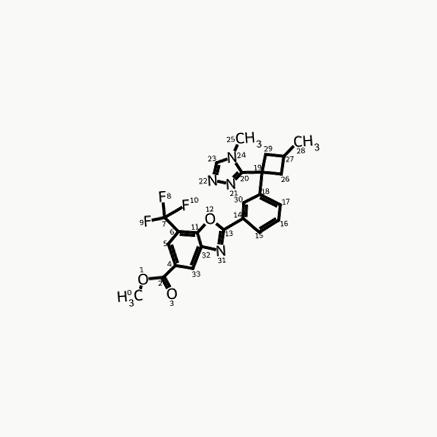 COC(=O)c1cc(C(F)(F)F)c2oc(-c3cccc(C4(c5nncn5C)CC(C)C4)c3)nc2c1